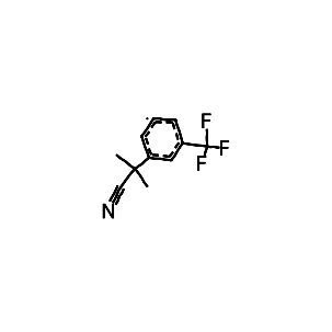 CC(C)(C#N)c1c[c]cc(C(F)(F)F)c1